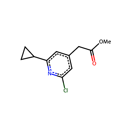 COC(=O)Cc1cc(Cl)nc(C2CC2)c1